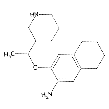 CC(Oc1cc2c(cc1N)CCCC2)C1CCCNC1